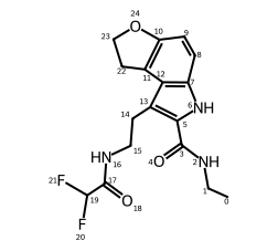 CCNC(=O)c1[nH]c2ccc3c(c2c1CCNC(=O)C(F)F)CCO3